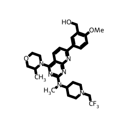 COc1ccc(-c2ccc3c(N4CCOCC4C)nc(N(C)C4CCN(CC(F)(F)F)CC4)nc3n2)cc1CO